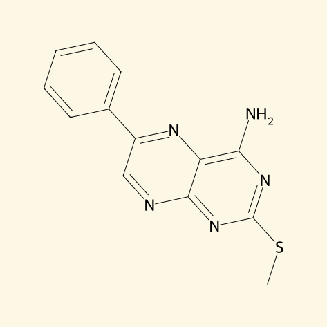 CSc1nc(N)c2nc(-c3ccccc3)cnc2n1